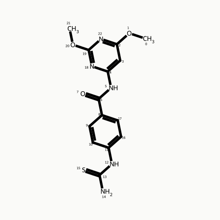 COc1cc(NC(=O)c2ccc(NC(N)=S)cc2)nc(OC)n1